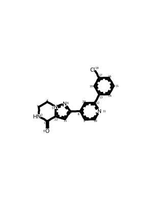 O=C1NCCn2nc(-c3ccnc(-c4cccc(Cl)c4)c3)cc21